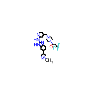 Cn1cc(-c2ccc3nc(Nc4cc(CN5CCN(C(=O)CC(F)(F)F)CC5)ccn4)[nH]c3c2)cn1